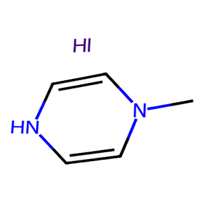 CN1C=CNC=C1.I